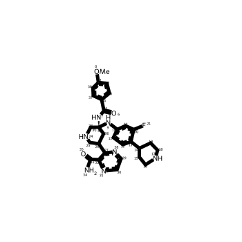 COc1ccc(C(=O)N[C@@]2(Nc3ccc(C4CCNCC4)c(F)c3)CNCC(c3nccnc3C(N)=O)C2)cc1